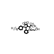 CSc1ccc(N2C(=O)C(O)=C(C(=O)C(C)C)C2c2ccccc2OCCCO)cc1